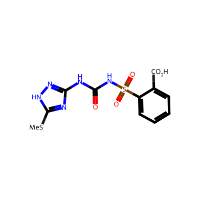 CSc1nc(NC(=O)NS(=O)(=O)c2ccccc2C(=O)O)n[nH]1